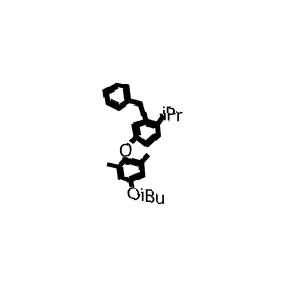 Cc1cc(OCC(C)C)cc(C)c1Oc1ccc(C(C)C)c(Cc2ccccc2)c1